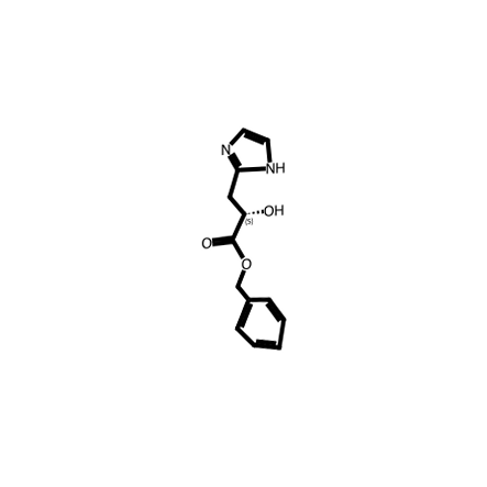 O=C(OCc1ccccc1)[C@@H](O)Cc1ncc[nH]1